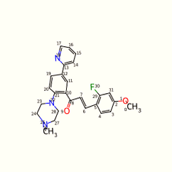 COc1ccc(C=CC(=O)c2cc(-c3ccccn3)ccc2N2CCN(C)CC2)c(F)c1